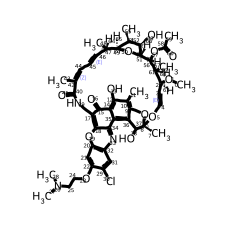 CO[C@H]1/C=C/O[C@@]2(C)Oc3c(C)c(O)c4c(=O)c(c5oc6cc(OCCN(C)C)c(Cl)cc6nc-5c4c3C2O)NC(=O)/C(C)=C\C=C\[C@H](C)[C@@H]2O[C@H]([C@H](O)[C@@H]2C)[C@H](OC(C)=O)[C@@H]1C